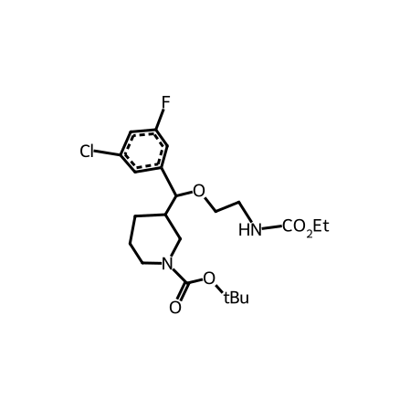 CCOC(=O)NCCOC(c1cc(F)cc(Cl)c1)C1CCCN(C(=O)OC(C)(C)C)C1